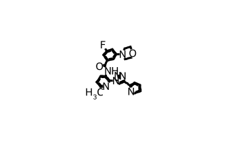 Cc1ccc(NC(=O)c2cc(F)cc(N3CCOCC3)c2)c(-n2cc(-c3ccccn3)nn2)n1